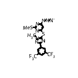 CSc1nc(N=[N+]=[N-])cc(Sc2nc(-c3cc(C(F)(F)F)cc(C(F)(F)F)c3)nn2C)n1